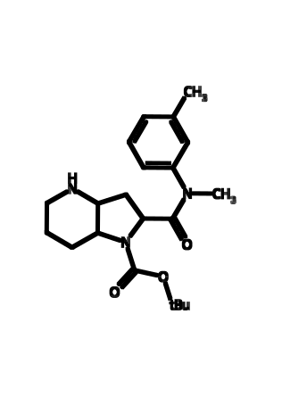 Cc1cccc(N(C)C(=O)C2CC3NCCCC3N2C(=O)OC(C)(C)C)c1